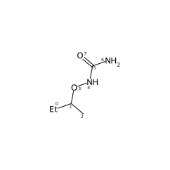 CCC(C)ONC(N)=O